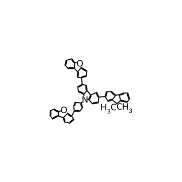 CC1(C)c2ccccc2-c2ccc(-c3ccc4c(c3)c3cc(-c5ccc6oc7ccccc7c6c5)ccc3n4-c3ccc(-c4cccc5c4oc4ccccc45)cc3)cc21